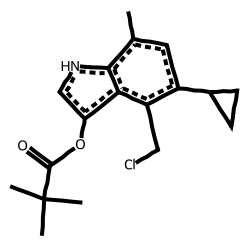 Cc1cc(C2CC2)c(CCl)c2c(OC(=O)C(C)(C)C)c[nH]c12